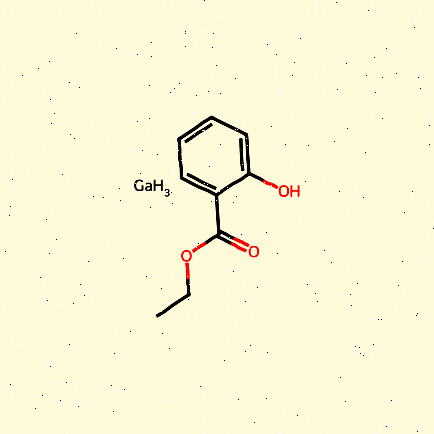 CCOC(=O)c1ccccc1O.[GaH3]